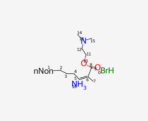 Br.CCCCCCCCCCCCC=C(C)C(=O)OCCN(C)C.N